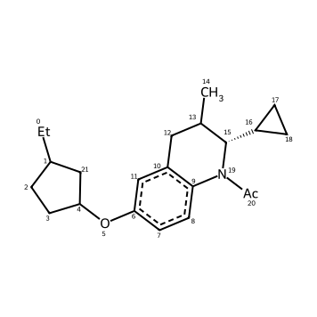 CCC1CCC(Oc2ccc3c(c2)CC(C)[C@H](C2CC2)N3C(C)=O)C1